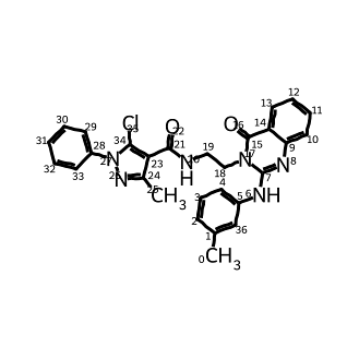 Cc1cccc(Nc2nc3ccccc3c(=O)n2CCNC(=O)c2c(C)nn(-c3ccccc3)c2Cl)c1